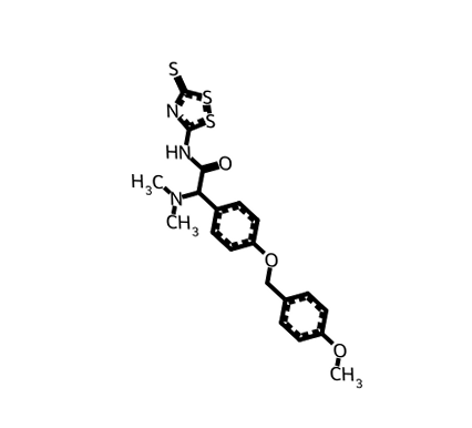 COc1ccc(COc2ccc(C(C(=O)Nc3nc(=S)ss3)N(C)C)cc2)cc1